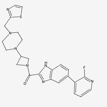 O=C(c1nc2cc(-c3cccnc3F)ccc2[nH]1)N1CC(N2CCN(Cc3nccs3)CC2)C1